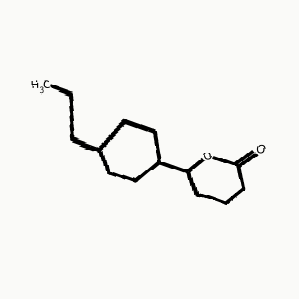 CCCC1CCC(C2CCCC(=O)O2)CC1